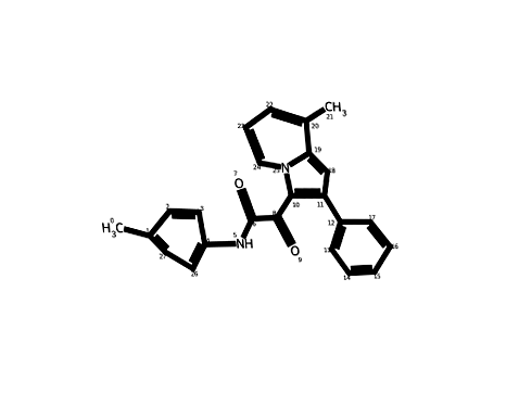 Cc1ccc(NC(=O)C(=O)c2c(-c3ccccc3)cc3c(C)cccn23)cc1